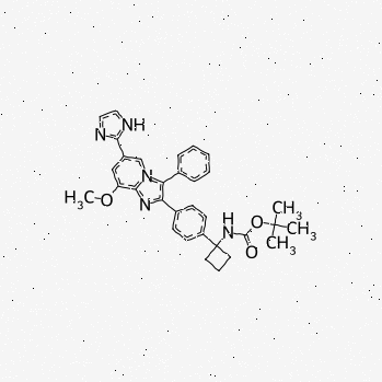 COc1cc(-c2ncc[nH]2)cn2c(-c3ccccc3)c(-c3ccc(C4(NC(=O)OC(C)(C)C)CCC4)cc3)nc12